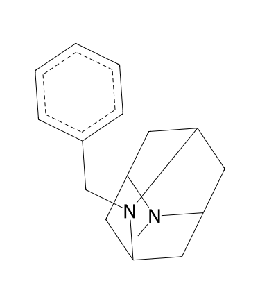 CN1C2CC3CC1CC(C2)N3Cc1ccccc1